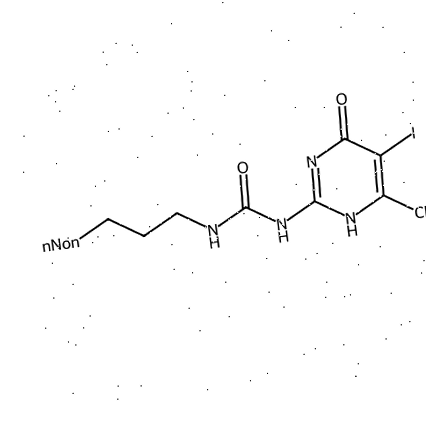 CCCCCCCCCCCCNC(=O)Nc1nc(=O)c(I)c(C)[nH]1